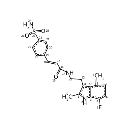 Cc1[nH]c2c(F)ccc(C)c2c1CCNC(=O)C=Cc1ccc(S(N)(=O)=O)cc1